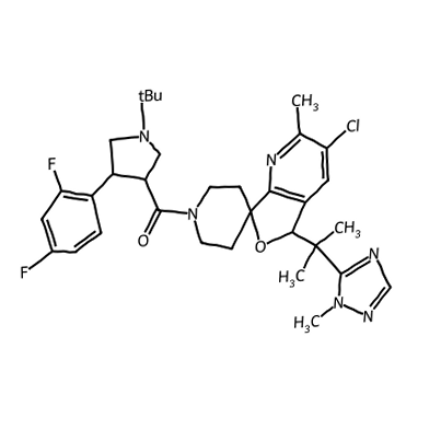 Cc1nc2c(cc1Cl)C(C(C)(C)c1ncnn1C)OC21CCN(C(=O)C2CN(C(C)(C)C)CC2c2ccc(F)cc2F)CC1